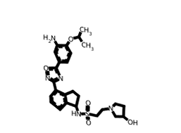 CC(C)Oc1ccc(-c2nc(-c3cccc4c3CCC4NS(=O)(=O)CCN3CCC(O)C3)no2)cc1N